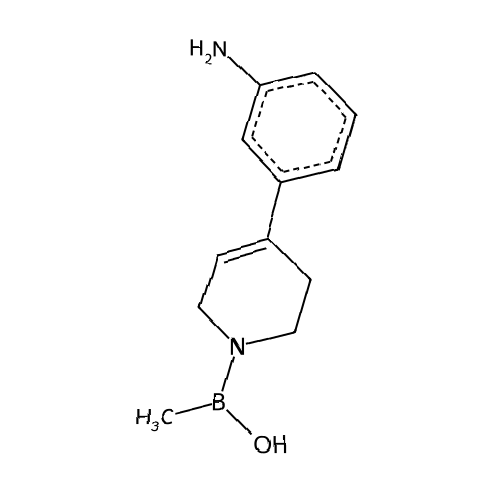 CB(O)N1CC=C(c2cccc(N)c2)CC1